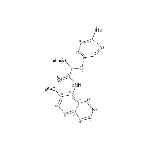 CCCCCCCC(Oc1ccc(C(C)CC)cc1)C(=O)Nc1c(OC)ccc2ccncc12